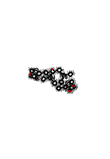 c1ccc(-c2cc(-c3cccc(-c4ccc(-c5ccc(-c6ccc7c(c6)Oc6ccccc6C76c7ccccc7-c7ccccc76)cc5)c(-c5nc(-c6ccccc6)cc(-c6ccccc6)n5)c4)c3)nc(-c3ccc(-c4ccccc4-c4ccc5c(c4)Oc4ccccc4C54c5ccccc5-c5ccccc54)cc3)n2)cc1